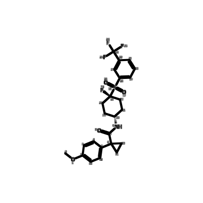 COc1ccc(C2(C(=O)N[C@H]3CC[C@@](F)(S(=O)(=O)c4cccc(C(F)(F)F)c4)CC3)CC2)cc1